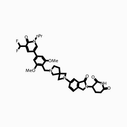 CCCn1cc(-c2cc(OC)c(CN3CCC4(C3)CN(c3ccc5c(c3)C(=O)N(C3CCC(=O)NC3=O)C5)C4)c(OC)c2)cc(C(F)F)c1=O